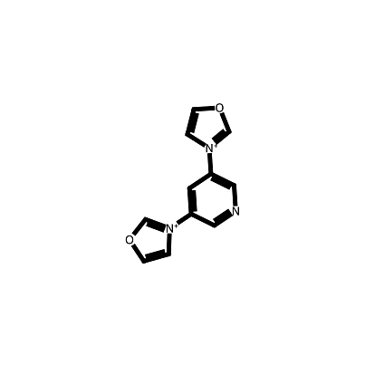 c1c[n+](-c2cncc(-[n+]3ccoc3)c2)co1